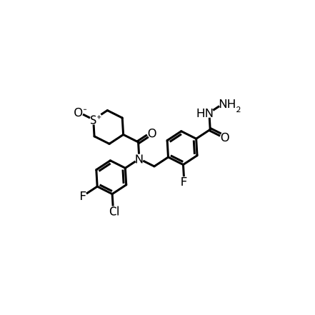 NNC(=O)c1ccc(CN(C(=O)C2CC[S+]([O-])CC2)c2ccc(F)c(Cl)c2)c(F)c1